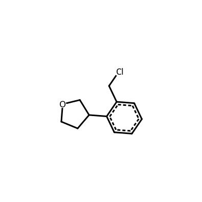 ClCc1ccccc1C1CCOC1